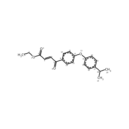 CCOC(=O)C=CC(=O)c1ccc(Oc2ccc(C(C)C)cc2)cc1